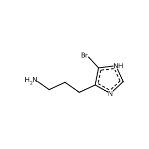 NCCCc1nc[nH]c1Br